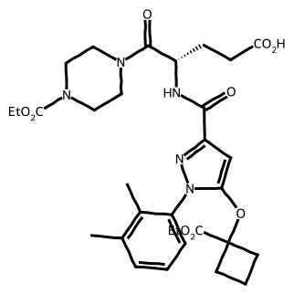 CCOC(=O)N1CCN(C(=O)[C@H](CCC(=O)O)NC(=O)c2cc(OC3(C(=O)OCC)CCC3)n(-c3cccc(C)c3C)n2)CC1